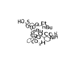 CCCCC(CC)COC(=O)CC(C(=O)OCC(CC)CCCC)S(=O)(=O)O.O=C(O)C1CCCCC1C(=O)OOOC(=O)C1CCCCC1C(=O)O.[NaH]